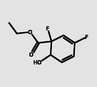 CCOC(=O)C1(F)C=C(F)C=CC1O